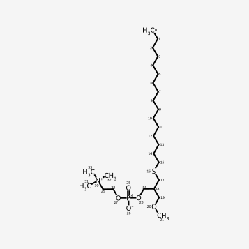 CCCCCCCCCCCCCCCCSCC(COC)COP(=O)([O-])OCC[N+](C)(C)C